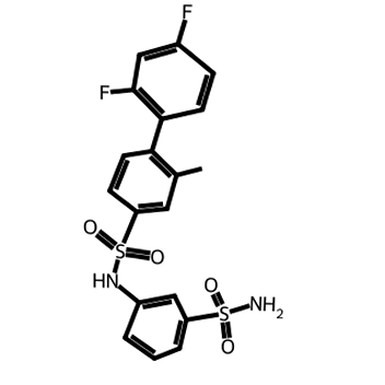 Cc1cc(S(=O)(=O)Nc2cccc(S(N)(=O)=O)c2)ccc1-c1ccc(F)cc1F